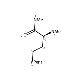 CCCCCCC[C@H](NC)C(=O)NC